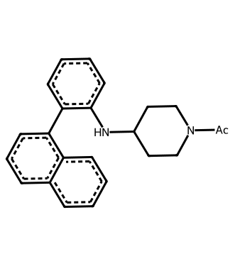 CC(=O)N1CCC(Nc2ccccc2-c2cccc3ccccc23)CC1